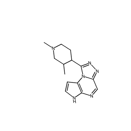 CC1CN(C)CCC1c1nnc2cnc3[nH]ccc3n12